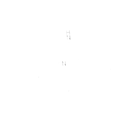 c1ccc(N2CNCC23CCCCC3)cc1